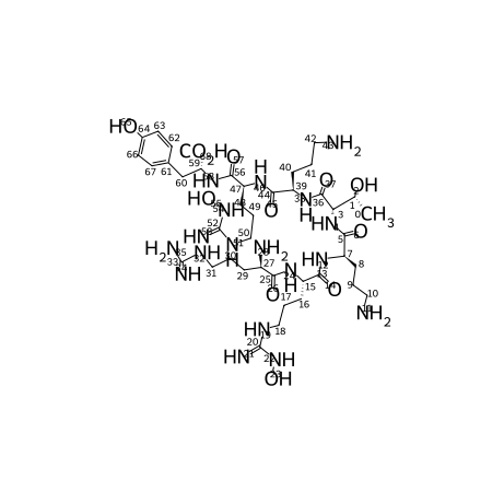 C[C@@H](O)[C@H](NC(=O)[C@@H](CCCN)NC(=O)[C@H](CCCNC(=N)NO)NC(=O)[C@H](N)CCCNC(=N)N)C(=O)N[C@H](CCCN)C(=O)N[C@@H](CCCNC(=N)NO)C(=O)N[C@H](Cc1ccc(O)cc1)C(=O)O